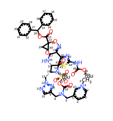 C[n+]1cccc(CN(Cc2cnn(C[C@@H]3[C@H](NC(=O)/C(=N\OC4(C(=O)OC(c5ccccc5)c5ccccc5)CC4)c4csc(NC(=O)OC(C)(C)C)n4)C(=O)N3S(=O)(=O)[O-])n2)C(=O)OC(C)(C)C)c1